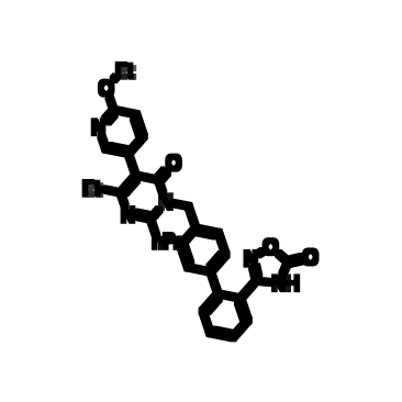 CCCc1nc(CC)c(-c2ccc(OCC)nc2)c(=O)n1Cc1ccc(-c2ccccc2-c2noc(=O)[nH]2)cc1